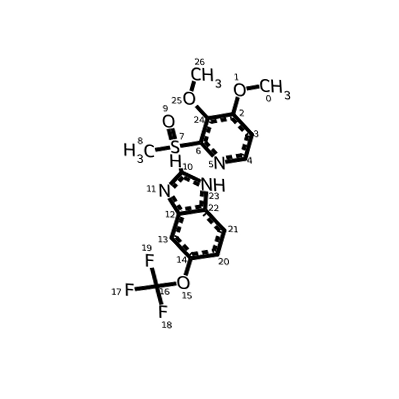 COc1ccnc([SH](C)(=O)c2nc3cc(OC(F)(F)F)ccc3[nH]2)c1OC